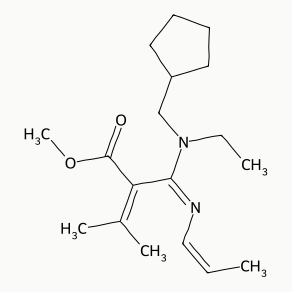 C/C=C\N=C(/C(C(=O)OC)=C(C)C)N(CC)CC1CCCC1